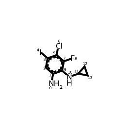 Nc1cc(I)c(Cl)c(F)c1NC1CC1